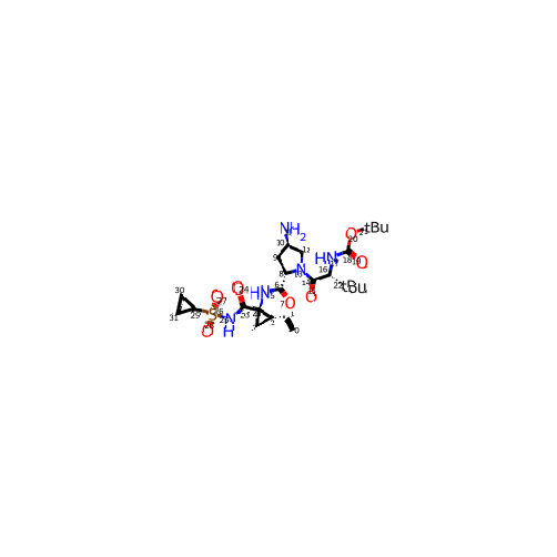 C=C[C@@H]1C[C@]1(NC(=O)[C@@H]1C[C@@H](N)CN1C(=O)[C@H](NC(=O)OC(C)(C)C)C(C)(C)C)C(=O)NS(=O)(=O)C1CC1